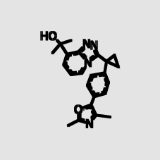 Cc1nc(C)c(-c2ccc(C3(c4nnc5c(C(C)(C)O)cccn45)CC3)cc2)o1